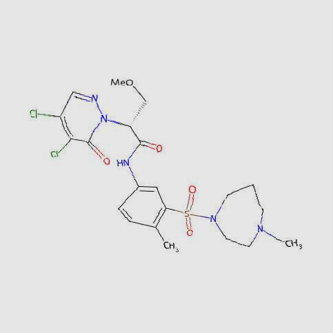 COC[C@H](C(=O)Nc1ccc(C)c(S(=O)(=O)N2CCCN(C)CC2)c1)n1ncc(Cl)c(Cl)c1=O